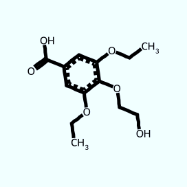 CCOc1cc(C(=O)O)cc(OCC)c1OCCO